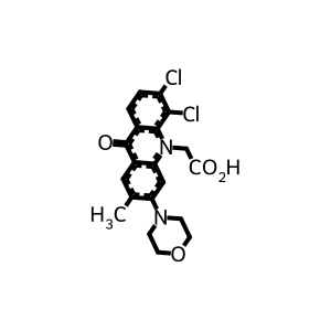 Cc1cc2c(=O)c3ccc(Cl)c(Cl)c3n(CC(=O)O)c2cc1N1CCOCC1